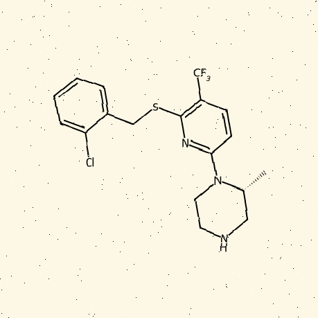 C[C@@H]1CNCCN1c1ccc(C(F)(F)F)c(SCc2ccccc2Cl)n1